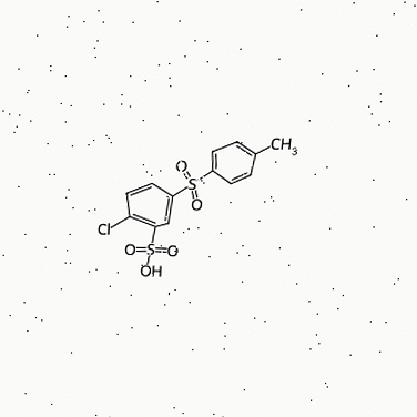 Cc1ccc(S(=O)(=O)c2ccc(Cl)c(S(=O)(=O)O)c2)cc1